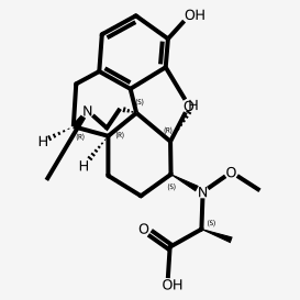 CON([C@@H](C)C(=O)O)[C@H]1CC[C@H]2[C@H]3Cc4ccc(O)c5c4[C@@]2(CCN3C)[C@H]1O5